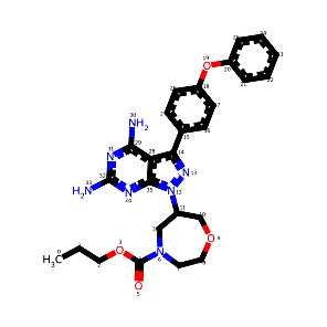 CCCOC(=O)N1CCOCC(n2nc(-c3ccc(Oc4ccccc4)cc3)c3c(N)nc(N)nc32)C1